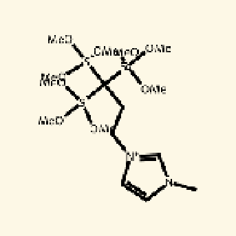 CO[Si](OC)(OC)C(CC[n+]1ccn(C)c1)([Si](OC)(OC)OC)[Si](OC)(OC)OC